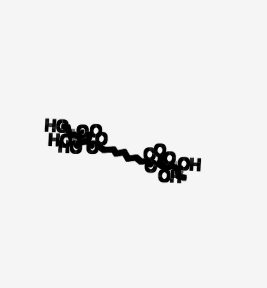 CC[C@H](O)[C@H]1OC(=O)C(OC(=O)CCCCCCCC(=O)OC2=C(O)[C@@H]([C@@H](O)CO)OC2=O)=C1O